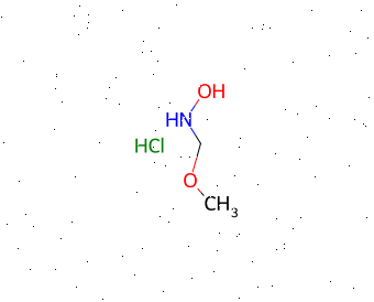 COCNO.Cl